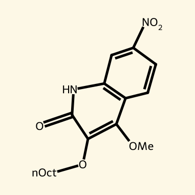 CCCCCCCCOc1c(OC)c2ccc([N+](=O)[O-])cc2[nH]c1=O